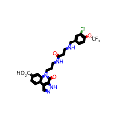 O=C(CCNCc1ccc(OC(F)(F)F)c(Cl)c1)NCCCn1c(=O)c2[nH]ncc2c2ccc(C(=O)O)cc21